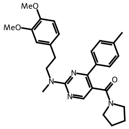 COc1ccc(CCN(C)c2ncc(C(=O)N3CCCC3)c(-c3ccc(C)cc3)n2)cc1OC